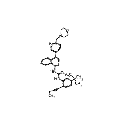 CC(C)(C)c1ccc(C#CCO)c(NC(=O)Nc2ccc(-c3ccc(CN4CCOCC4)nc3)c3ccccc23)c1